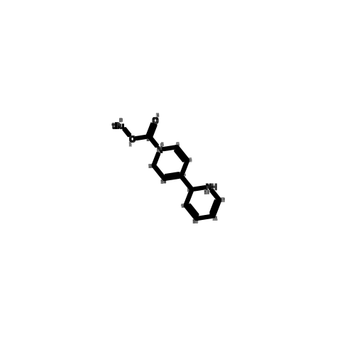 CC(C)(C)OC(=O)N1C=CC(C2C=CC=CN2)=CC1